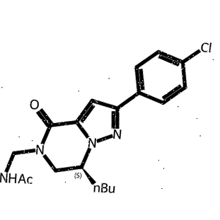 CCCC[C@H]1CN(CNC(C)=O)C(=O)c2cc(-c3ccc(Cl)cc3)nn21